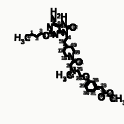 CCCCOc1nc(N)c2[nH]c(=O)n(CCC3CCN(C(=O)CN(C)CCOc4cccc(CC(=O)OC)c4)CC3)c2n1